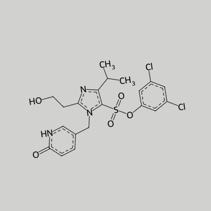 CC(C)c1nc(CCO)n(Cc2ccc(=O)[nH]c2)c1S(=O)(=O)Oc1cc(Cl)cc(Cl)c1